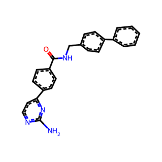 Nc1nccc(-c2ccc(C(=O)NCc3ccc(-c4ccccc4)cc3)cc2)n1